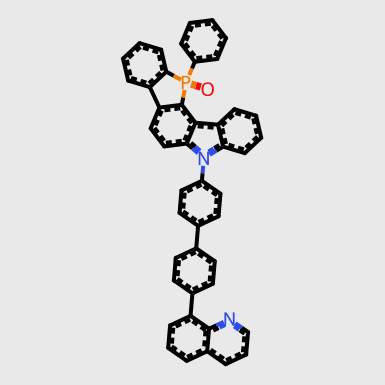 O=P1(c2ccccc2)c2ccccc2-c2ccc3c(c21)c1ccccc1n3-c1ccc(-c2ccc(-c3cccc4cccnc34)cc2)cc1